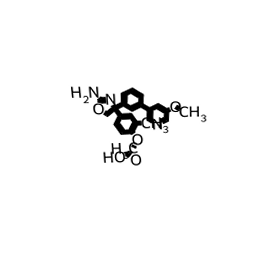 COc1cncc(-c2cccc(C3(c4ccc(OC)c(C)c4)COC(N)=N3)c2)c1.O=CO